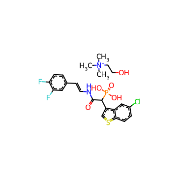 C[N+](C)(C)CCO.O=C(NC=Cc1ccc(F)c(F)c1)C(c1csc2ccc(Cl)cc12)P(=O)(O)O